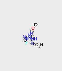 Cc1c(NC2CCCN(C(=O)O)C2)nc(-c2cnc3ccc(F)cn23)nc1N1CCC(OCc2ccccc2)CC1